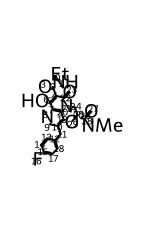 CCNC(=O)c1c(O)c2ncc(Cc3ccc(F)cc3)c3c2n(c1=O)C[C@H](C(=O)NC)O3